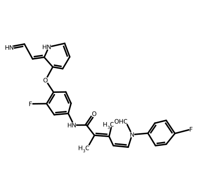 CC(/C=C\N(C=O)c1ccc(F)cc1)=C(/C)C(=O)Nc1ccc(OC2=CC=CN/C2=C\C=N)c(F)c1